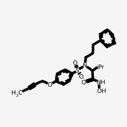 CC#CCOc1ccc(S(=O)(=O)N(CCCc2ccccc2)C(C(=O)NO)C(C)C)cc1